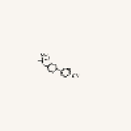 CC(C)(N)Cc1ccc(-c2ccc(C#N)cc2)cc1